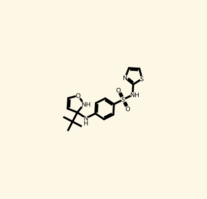 CC(C)(C)C1(Nc2ccc(S(=O)(=O)Nc3nccs3)cc2)C=CON1